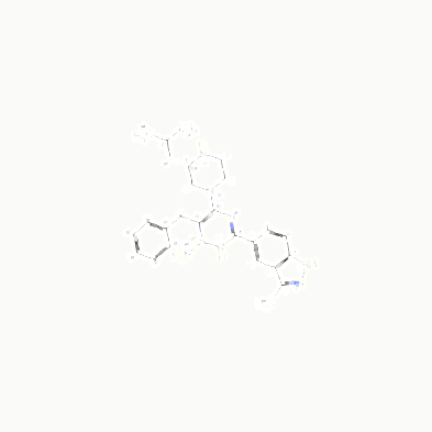 Cc1n[nH]c2ccc(C3=NC(N4CCN[C@@H](CC(C)C)C4)=C(Cc4ccccc4)N(N)N3)cc12